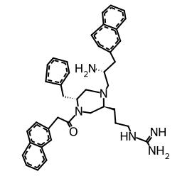 N=C(N)NCCC[C@H]1CN(C(=O)Cc2ccc3ccccc3c2)[C@H](Cc2ccccc2)CN1C[C@H](N)Cc1ccc2ccccc2c1